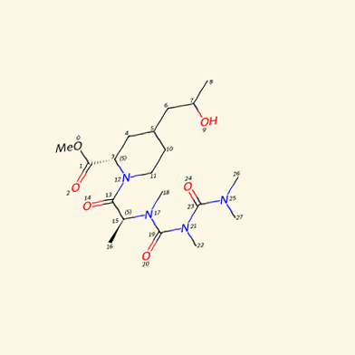 COC(=O)[C@@H]1CC(CC(C)O)CCN1C(=O)[C@H](C)N(C)C(=O)N(C)C(=O)N(C)C